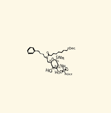 CCCCCCCCCCCCCCCCCC(=O)N(CCCCc1ccccc1)C[C@H]1O[C@H](OC)[C@H](NS(=O)(=O)CCCCCCCC)[C@@H](O)[C@@H]1O